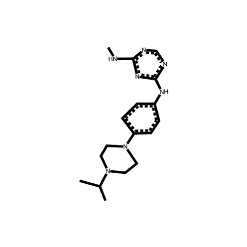 CNc1ncnc(Nc2ccc(N3CCN(C(C)C)CC3)cc2)n1